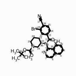 Cc1cccc2ccnc(N(C(=O)c3ccc(C#N)c(Br)c3)[C@@H]3CCCN(C(=O)OC(C)(C)C)C3)c12